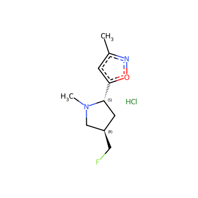 Cc1cc([C@@H]2C[C@@H](CF)CN2C)on1.Cl